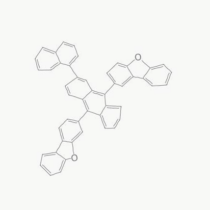 c1ccc2c(-c3ccc4c(-c5ccc6c(c5)oc5ccccc56)c5ccccc5c(-c5ccc6oc7ccccc7c6c5)c4c3)cccc2c1